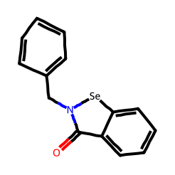 O=c1c2ccccc2[se]n1Cc1ccccc1